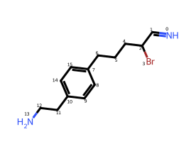 N=CC(Br)CCCc1ccc(CCN)cc1